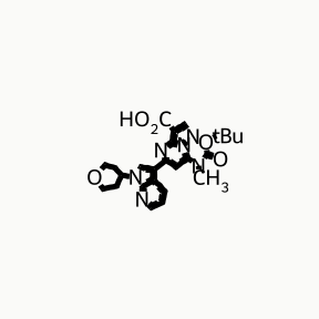 CN(C(=O)OC(C)(C)C)c1cc(-c2cn(C3CCOCC3)c3ncccc23)nc2c(C(=O)O)cnn12